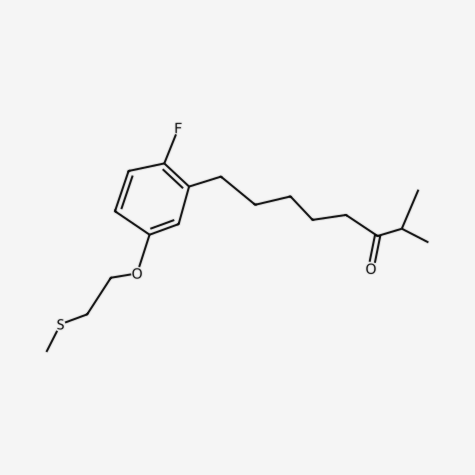 CSCCOc1ccc(F)c(CCCCCC(=O)C(C)C)c1